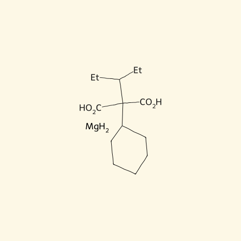 CCC(CC)C(C(=O)O)(C(=O)O)C1CCCCC1.[MgH2]